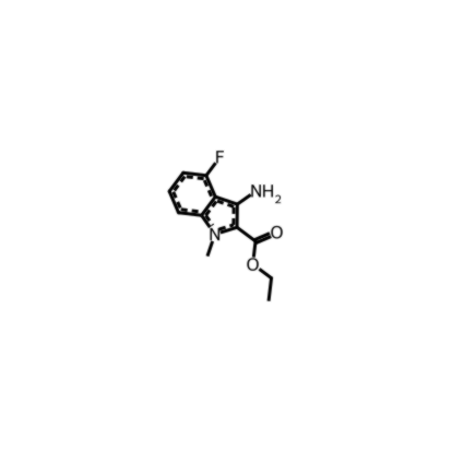 CCOC(=O)c1c(N)c2c(F)cccc2n1C